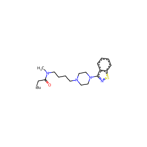 CCC(C)CC(=O)N(C)CCCCN1CCN(c2nsc3ccccc23)CC1